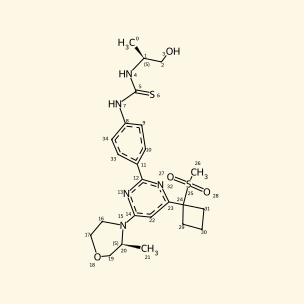 C[C@@H](CO)NC(=S)Nc1ccc(-c2nc(N3CCOC[C@@H]3C)cc(C3(S(C)(=O)=O)CCC3)n2)cc1